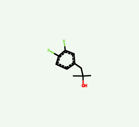 CC(C)(O)Cc1ccc(F)c(F)c1